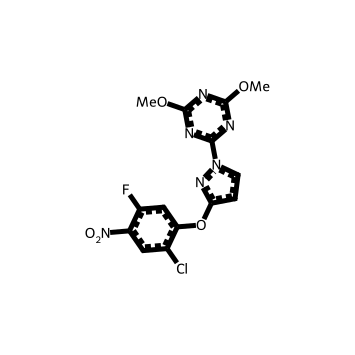 COc1nc(OC)nc(-n2ccc(Oc3cc(F)c([N+](=O)[O-])cc3Cl)n2)n1